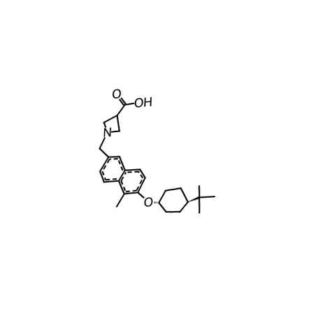 Cc1c(O[C@H]2CC[C@H](C(C)(C)C)CC2)ccc2cc(CN3CC(C(=O)O)C3)ccc12